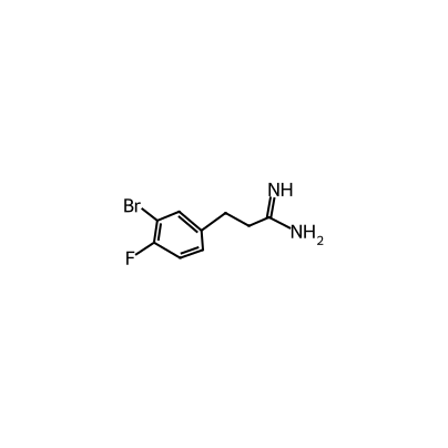 N=C(N)CCc1ccc(F)c(Br)c1